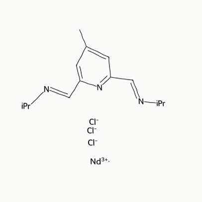 Cc1cc(C=NC(C)C)nc(C=NC(C)C)c1.[Cl-].[Cl-].[Cl-].[Nd+3]